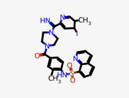 Cc1cc(C(=O)N2CCN(C(=N)C3=CC(I)C(C)C=N3)CC2)ccc1NS(=O)(=O)c1cccc2cccnc12